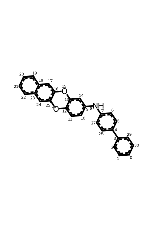 c1ccc(-c2ccc(Nc3ccc4c(c3)Oc3cc5ccccc5cc3O4)cc2)cc1